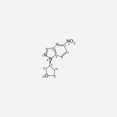 O=[N+]([O-])c1ccc2c(cnn2[C@H]2CCOC2)c1